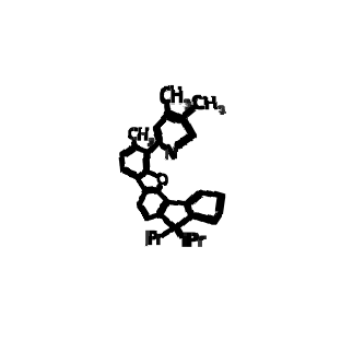 Cc1cnc(-c2c(C)ccc3c2oc2c4c(ccc23)C(C(C)C)(C(C)C)c2ccccc2-4)cc1C